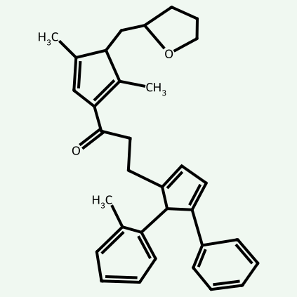 CC1=CC(C(=O)CCC2=CC=C(c3ccccc3)C2c2ccccc2C)=C(C)C1CC1CCCO1